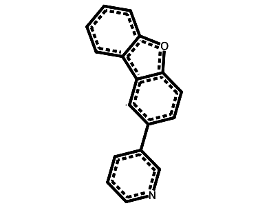 [c]1c(-c2cccnc2)ccc2oc3ccccc3c12